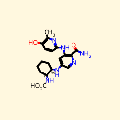 Cc1nc(Nc2cc(N[C@@H]3CCCC[C@@H]3NC(=O)O)cnc2C(N)=O)ccc1O